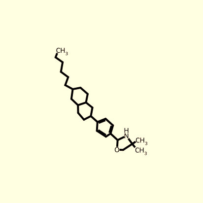 CCCCCCC1CCC2CC(c3ccc(C4NC(C)(C)CO4)cc3)CCC2C1